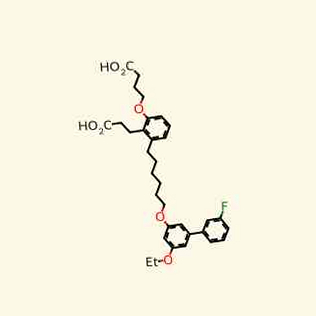 CCOc1cc(OCCCCCCc2cccc(OCCCC(=O)O)c2CCC(=O)O)cc(-c2cccc(F)c2)c1